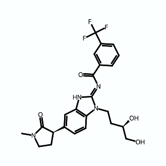 CN1CC[C@H](c2ccc3c(c2)[nH]/c(=N\C(=O)c2cccc(C(F)(F)F)c2)n3CC[C@@H](O)CO)C1=O